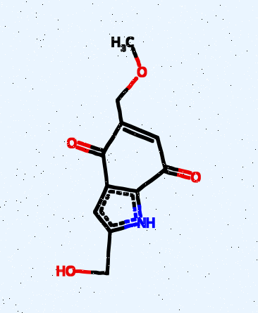 COCC1=CC(=O)c2[nH]c(CO)cc2C1=O